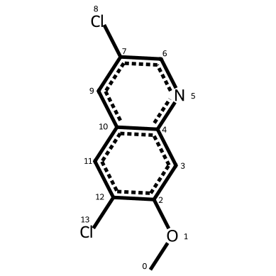 COc1cc2ncc(Cl)cc2cc1Cl